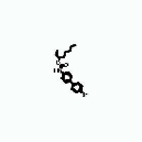 CCCCCC(CC)OC(=O)Nc1ccc(-c2ccc(Br)cc2)cc1